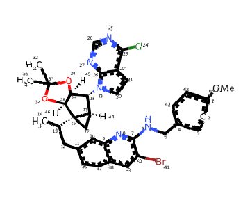 COc1ccc(CNc2nc3cc(CC(C)[C@@]45C[C@@H]4[C@@H](n4ccc6c(Cl)ncnc64)[C@@H]4OC(C)(C)O[C@@H]45)ccc3cc2Br)cc1